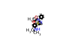 CC(C)Nc1ccc(OC(C)(C)C(=O)N(c2ccccc2)c2nccs2)cc1